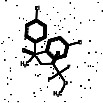 COC(F)(F)C(=O)CS(C)(=O)(c1ccc(Cl)cc1)c1ccc(Cl)cc1